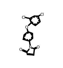 O=C1C=CC(=O)N1c1ccc(Oc2ccc(Cl)cc2Cl)cc1